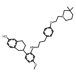 COc1ccc(C2CCc3cc(O)ccc3C2)c(NCCCc2ccc(OCCN3CCCC(C)(C)C3)cc2)c1